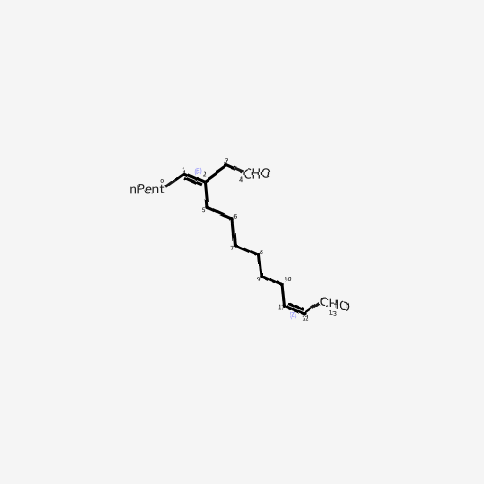 CCCCC/C=C(/CC=O)CCCCCC/C=C\C=O